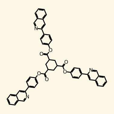 O=C(Oc1ccc(-c2cc3ccccc3cn2)cc1)C1CC(C(=O)Oc2ccc(-c3cc4ccccc4cn3)cc2)CC(C(=O)Oc2ccc(-c3cc4ccccc4cn3)cc2)C1